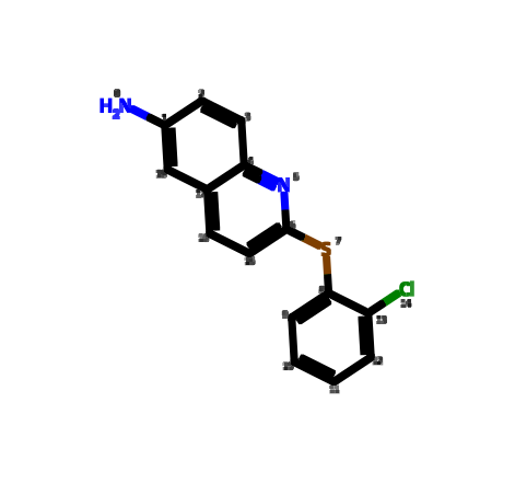 Nc1ccc2nc(Sc3ccccc3Cl)ccc2c1